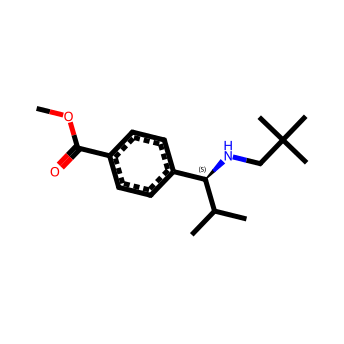 COC(=O)c1ccc([C@@H](NCC(C)(C)C)C(C)C)cc1